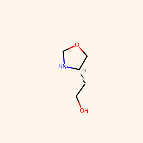 OCC[C@H]1COCN1